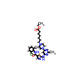 CCOC(=O)CCCCCCN1CCN(c2cc(Nc3ncc(C(=O)Nc4c(C)cccc4Cl)s3)nc(C)n2)CC1